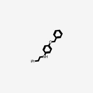 CC(C)CCNc1ccc(OCc2ccccc2)cc1